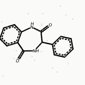 O=C1NC(c2ccccc2)C(=O)Nc2ccccc21